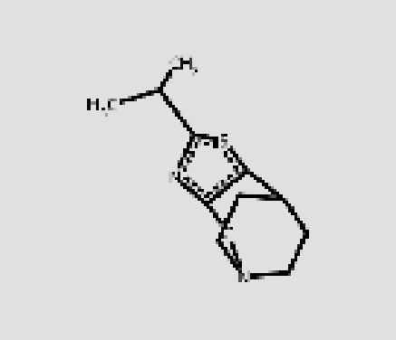 CC(C)c1nc2c(s1)C1CCN(CC1)C2